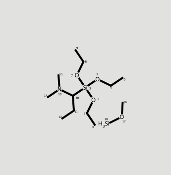 CCO[Si](OCC)(OCC)C(CC)N(C)C.CO[SiH3]